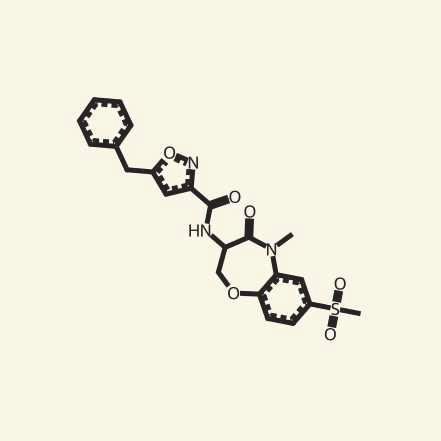 CN1C(=O)C(NC(=O)c2cc(Cc3ccccc3)on2)COc2ccc(S(C)(=O)=O)cc21